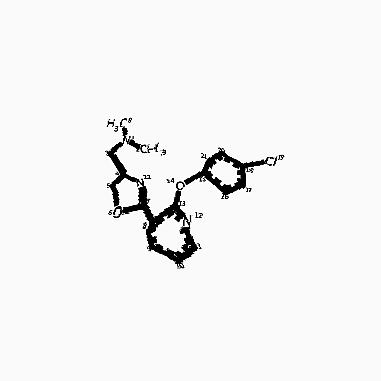 CN(C)C=C1COC(c2cccnc2Oc2ccc(Cl)cc2)=N1